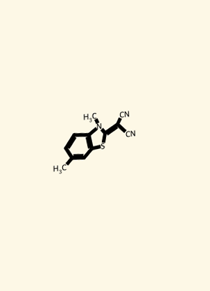 Cc1ccc2c(c1)SC(=C(C#N)C#N)N2C